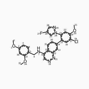 COc1ccc(CNc2cnnc3cc(-c4cc(Cl)c(OC)cc4-n4cc(F)cn4)ccc23)c(OC)c1